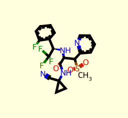 CS(=O)(=O)C(c1ccccn1)C(N[C@H](c1ccccc1F)C(F)(F)F)C(=O)NC1(C#N)CC1